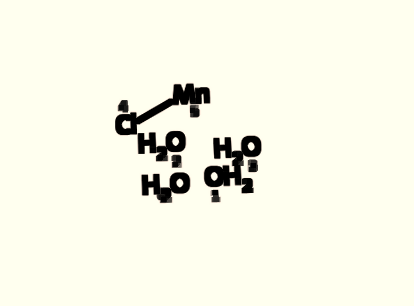 O.O.O.O.[Cl][Mn]